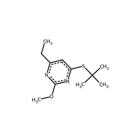 CCc1cc(SC(C)(C)C)nc(OC)n1